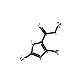 O=C(CBr)c1sc(Br)cc1Br